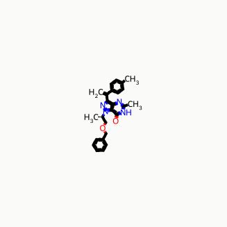 C=C(c1ccc(C)cc1)c1nn([C@@H](C)COCc2ccccc2)c2c(=O)[nH]c(C)nc12